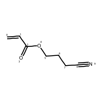 C=CC(=O)OCCCC#N